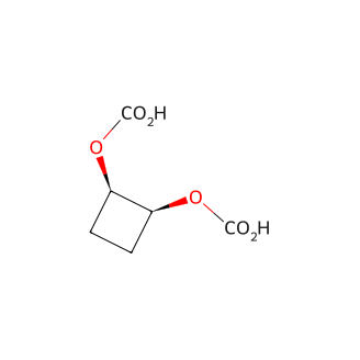 O=C(O)O[C@H]1CC[C@H]1OC(=O)O